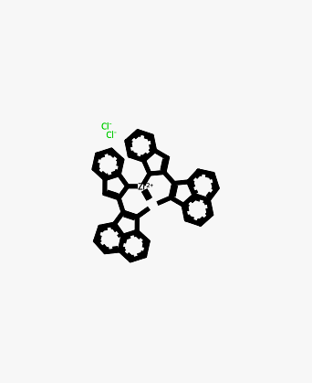 [CH2]=[Zr+2]([CH]1C(C2=C(C)c3cccc4cccc2c34)=Cc2ccccc21)[CH]1C(C2=C(C)c3cccc4cccc2c34)=Cc2ccccc21.[Cl-].[Cl-]